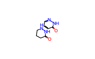 O=C1CCCNN1.O=c1cccn[nH]1